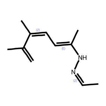 C=C(C)/C(C)=C\C=C(/C)N/N=C\C